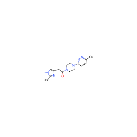 CC(C)c1nc(CC(=O)N2CCN(c3ccc(C#N)nn3)CC2)cn1C